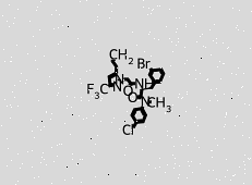 C=CCc1cc(C(F)(F)F)nn1CC(=O)N[C@@H](Cc1cccc(Br)c1)C(=O)N(C)c1ccc(Cl)cc1